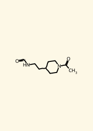 CC(=O)N1CCC(CCN[C]=O)CC1